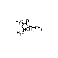 C=C(CN(C)C)C(=O)OCCC